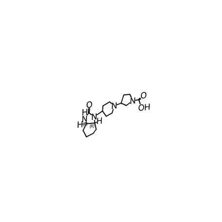 O=C(O)N1CCC(N2CCC(N3C(=O)N[C@@H]4CCCC[C@H]43)CC2)C1